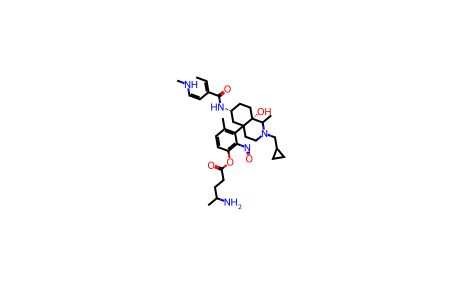 C/C=C(\C=C/NC)C(=O)N[C@@H]1CC[C@@]2(O)C(C)N(CC3CC3)CCC2(c2c(C)ccc(OC(=O)CCC(C)N)c2N=O)C1